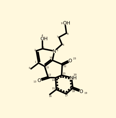 CC1=CC(O)N(CCCO)C2=C1C(=O)c1c(C)cc(=O)[nH]c1C2=O